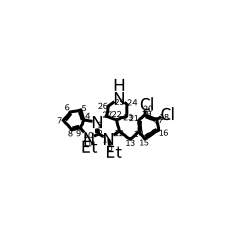 CCN(c1nc2ccccc2n1CC)C(Cc1ccc(Cl)c(Cl)c1)C1CCNCC1